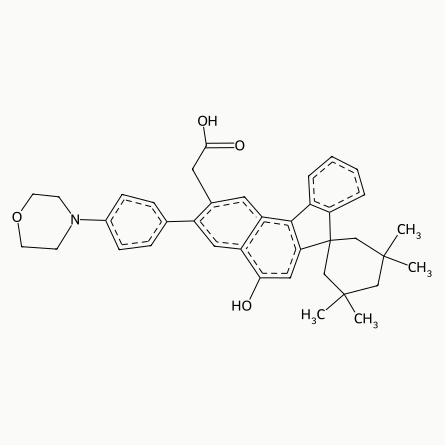 CC1(C)CC(C)(C)CC2(C1)c1ccccc1-c1c2cc(O)c2cc(-c3ccc(N4CCOCC4)cc3)c(CC(=O)O)cc12